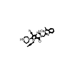 CC#CCn1c(N2CCCNCC2)c(C#N)c2ncn(Cc3nc4ccccc4c(C)[n+]3O)c(=O)c21